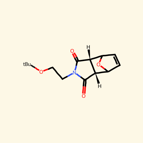 CC(C)(C)OCCN1C(=O)[C@@H]2C3C=CC(O3)[C@@H]2C1=O